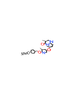 COc1ccc(COc2ncc(Oc3ccc4ncc(C)c(=O)n4c3)cc2C)cc1